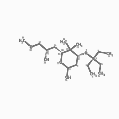 CC[Si](CC)(CC)O[C@@H]1CC(O)O[C@H](C[C@H](O)COC)C1(C)C